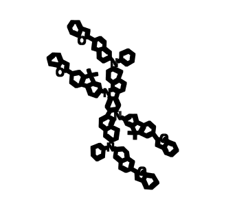 CC1(C)c2cc(-c3cc4ccccc4o3)ccc2-c2ccc(-n3c4cc5c6ccc7cc(N(c8ccccc8)c8ccc9cc(-c%10cc%11ccccc%11o%10)ccc9c8)ccc7c6n(-c6ccc7c(c6)C(C)(C)c6cc(-c8cc9ccccc9o8)ccc6-7)c5cc4c4ccc5cc(N(c6ccccc6)c6ccc7cc(-c8cc9ccccc9o8)ccc7c6)ccc5c43)cc21